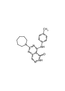 Cc1ccc(Nc2nc(N3CCCCCC3)nc3cn[nH]c(=O)c23)cc1